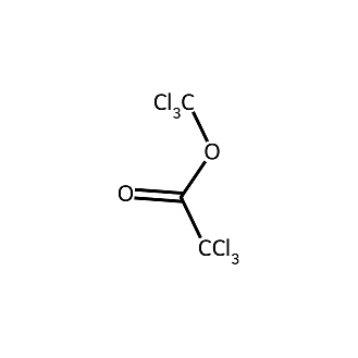 O=C(OC(Cl)(Cl)Cl)C(Cl)(Cl)Cl